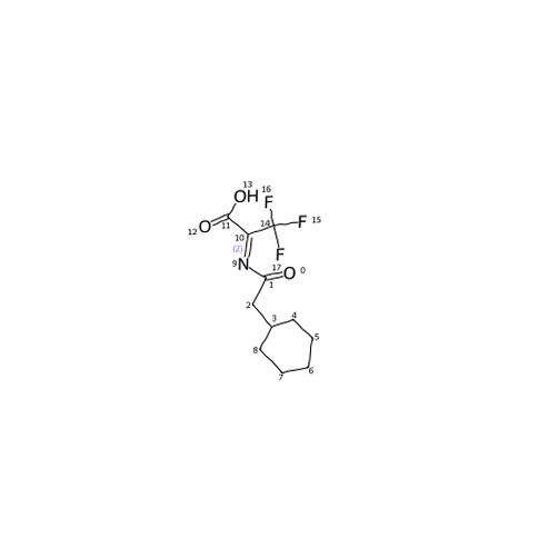 O=C(CC1CCCCC1)/N=C(/C(=O)O)C(F)(F)F